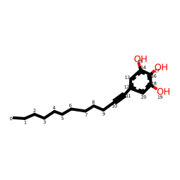 CCCCCCCCCCC#Cc1cc(O)c(O)c(O)c1